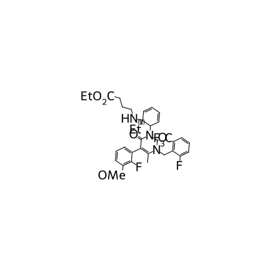 CCOC(=O)CCCN[C@]1(CC)C=CC=CC1n1c(=O)c(-c2cccc(OC)c2F)c(C)n(Cc2c(F)cccc2C(F)(F)F)c1=O